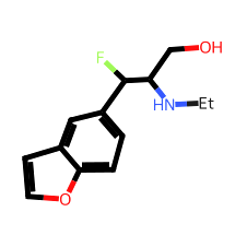 CCNC(CO)C(F)c1ccc2occc2c1